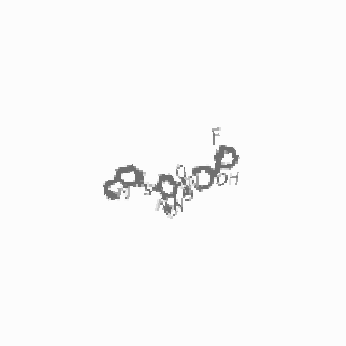 O=S(=O)(c1ccc(Sc2cccc3cccnc23)c2nonc12)N1CCC(O)(C2=CCCC(F)=C2)CC1